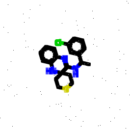 CC(NC1=Nc2ccccc2NC12CCSCC2)c1cccc(Cl)c1